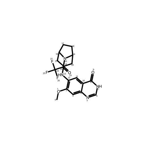 COc1cc2nc[nH]c(=O)c2cc1NC1CC2CCC(C1)N2C(=O)C(F)(F)F